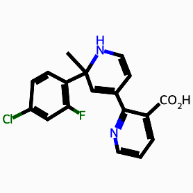 CC1(c2ccc(Cl)cc2F)C=C(c2ncccc2C(=O)O)C=CN1